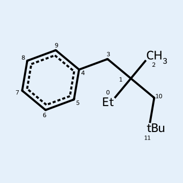 CCC(C)(Cc1ccccc1)CC(C)(C)C